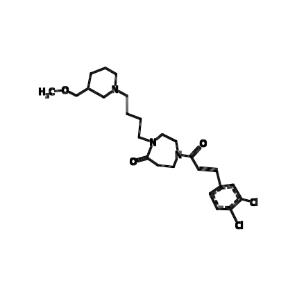 COCC1CCCN(CCCCN2CCN(C(=O)/C=C/c3ccc(Cl)c(Cl)c3)CCC2=O)C1